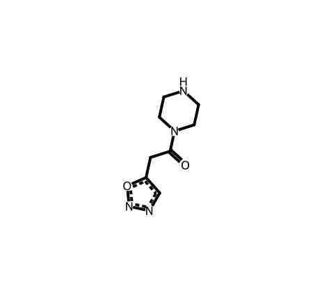 O=C(Cc1cnno1)N1CCNCC1